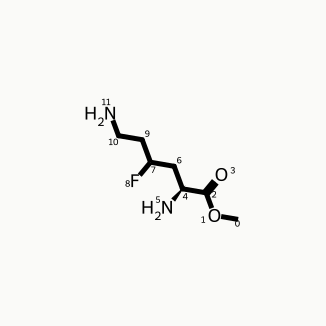 COC(=O)[C@@H](N)CC(F)CCN